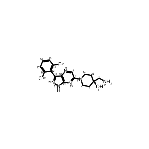 NCC1(O)CCN(c2cnc3c(-c4c(F)cccc4Cl)n[nH]c3n2)CC1